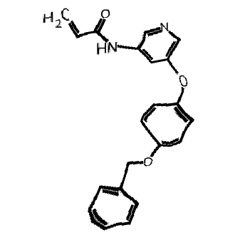 C=CC(=O)Nc1cncc(Oc2ccc(OCc3ccccc3)cc2)c1